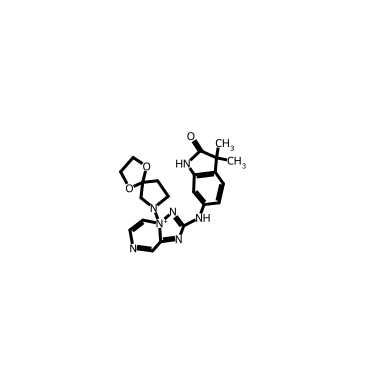 CC1(C)C(=O)Nc2cc(NC3=N[N+]4(N5CCC6(C5)OCCO6)C=CN=CC4=N3)ccc21